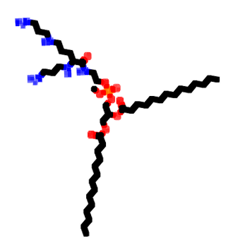 CCCCCCCCCCCCCC(=O)OCC(COP(=O)(OC)OCCNC(=O)C(CCCNCCCN)NCCCN)OC(=O)CCCCCCCCCCCCC